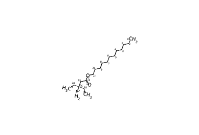 CCCCCCCCCCCCOC(=O)CC(P)(CC)CC